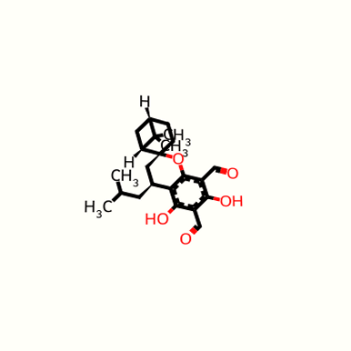 CC(C)C[C@H]1C[C@@]2(CC[C@H]3C[C@@H]2C3(C)C)Oc2c(C=O)c(O)c(C=O)c(O)c21